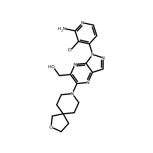 Nc1nccc(-n2ncc3nc(N4CCC5(CCOC5)CC4)c(CO)nc32)c1Cl